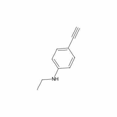 C#Cc1ccc(NCC)cc1